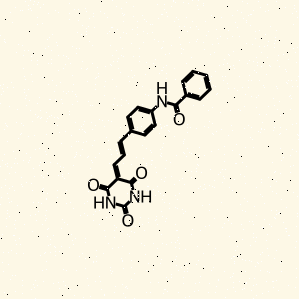 O=C1NC(=O)C(=CC=Cc2ccc(NC(=O)c3ccccc3)cc2)C(=O)N1